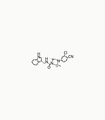 C[C@@H]1CN(c2ccc(C#N)c(Cl)c2)[C@@H](C)CN1C(=O)NCc1c[nH]c2ccccc12